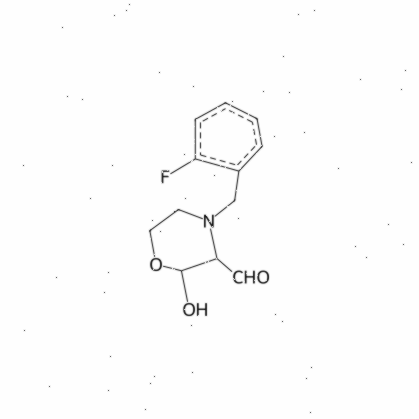 O=CC1C(O)OCCN1Cc1ccccc1F